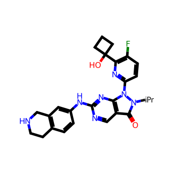 CC(C)n1c(=O)c2cnc(Nc3ccc4c(c3)CNCC4)nc2n1-c1ccc(F)c(C2(O)CCC2)n1